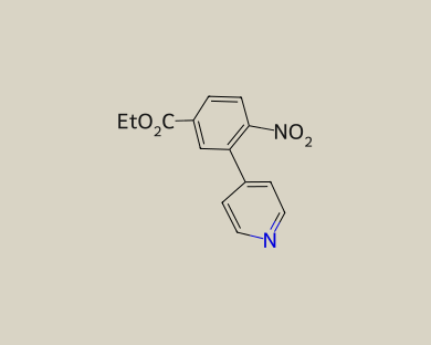 CCOC(=O)c1ccc([N+](=O)[O-])c(-c2ccncc2)c1